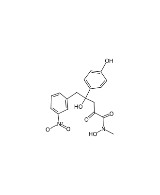 CN(O)C(=O)C(=O)CC(O)(Cc1cccc([N+](=O)[O-])c1)c1ccc(O)cc1